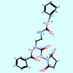 O=C(NCCN(OC(=O)c1ccccc1)C(=O)ON1C(=O)CCC1=O)OCc1ccccc1